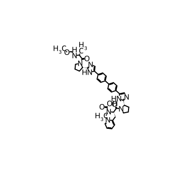 COCN[C@@H](C)C(=O)N1CCC[C@H]1c1ncc(-c2ccc(-c3ccc(-c4cnc([C@@H]5CCCN5C(=O)[C@H](Cc5ccccn5)N(C)C(=O)O)[nH]4)cc3)cc2)[nH]1